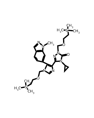 Cn1ncc2ccc(-c3c(-c4nn(COCC[Si](C)(C)C)c(=O)n4C4CC4)ncn3COCC[Si](C)(C)C)cc21